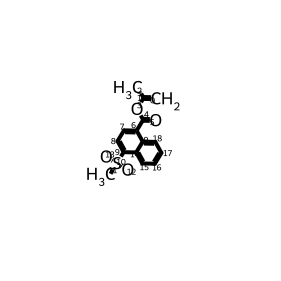 C=C(C)OC(=O)c1ccc(S(C)(=O)=O)c2ccccc12